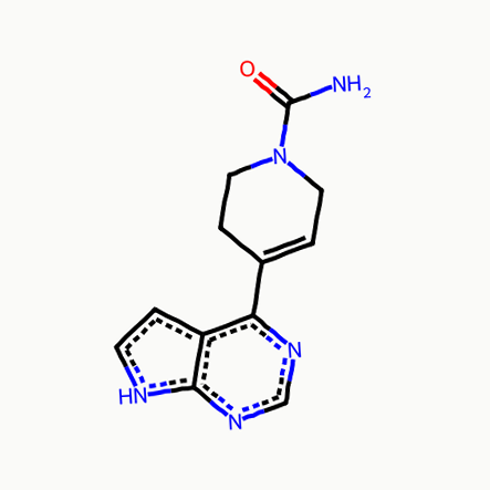 NC(=O)N1CC=C(c2ncnc3[nH]ccc23)CC1